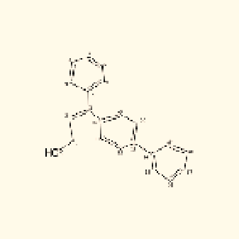 OCC=C(c1ccccc1)c1ccc(-c2ccccc2)cc1